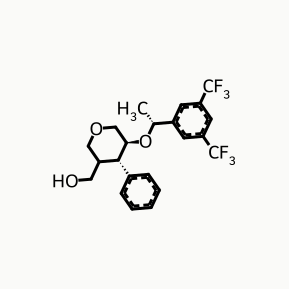 C[C@@H](O[C@@H]1COCC(CO)[C@H]1c1ccccc1)c1cc(C(F)(F)F)cc(C(F)(F)F)c1